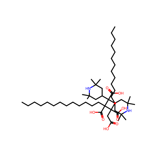 CCCCCCCCCCCCCC(CC(=O)O)(C(=O)O)C(CCCCCCCCCCCCC)(C(=O)O)C(C(=O)O)(C1CC(C)(C)NC(C)(C)C1)C1CC(C)(C)NC(C)(C)C1